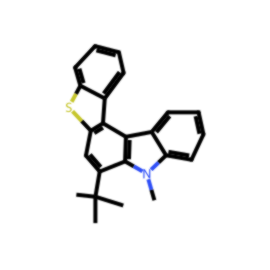 Cn1c2ccccc2c2c3c(cc(C(C)(C)C)c21)sc1ccccc13